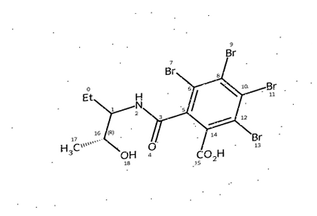 CCC(NC(=O)c1c(Br)c(Br)c(Br)c(Br)c1C(=O)O)[C@@H](C)O